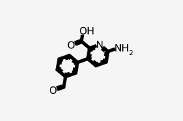 Nc1ccc(-c2cccc(C=O)c2)c(C(=O)O)n1